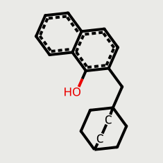 Oc1c(CC23CCC(CC2)CC3)ccc2ccccc12